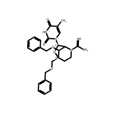 Cc1cn([C@@H]2O[C@@]3(COCc4ccccc4)CCN(C(=N)N)C2C3OCc2ccccc2)c(=O)[nH]c1=O